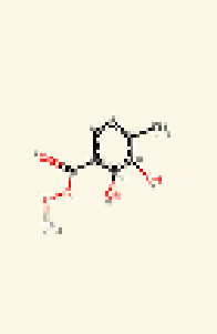 COOC(=O)c1ccc(C)c(O)c1O